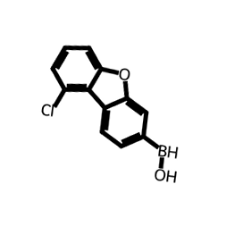 OBc1ccc2c(c1)oc1cccc(Cl)c12